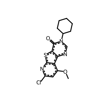 COc1cc(Cl)nc2sc3c(=O)n(C4CCCCC4)cnc3c12